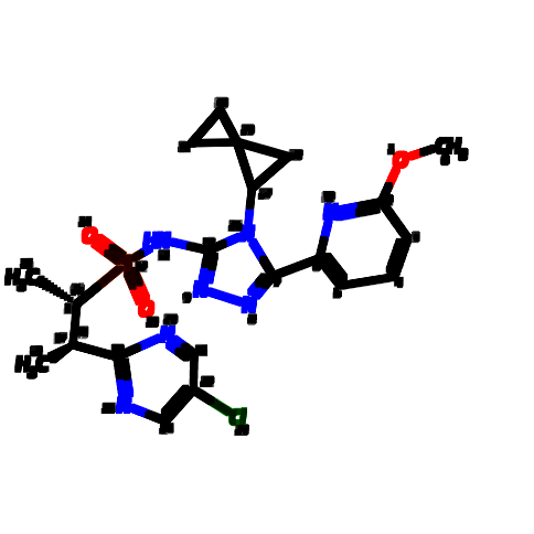 COc1cccc(-c2nnc(NS(=O)(=O)[C@@H](C)[C@H](C)c3ncc(Cl)cn3)n2C2CC23CC3)n1